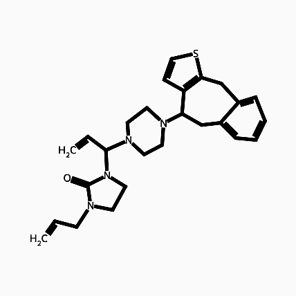 C=CCN1CCN(C(C=C)N2CCN(C3Cc4ccccc4Cc4sccc43)CC2)C1=O